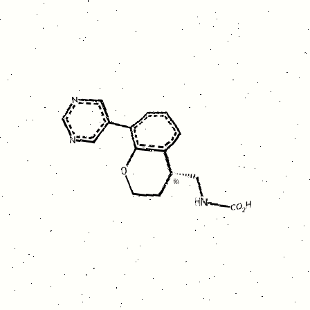 O=C(O)NC[C@@H]1CCOc2c(-c3cncnc3)cccc21